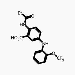 CCC(=O)Nc1ccc(Nc2ccccc2OC(F)(F)F)cc1C(=O)O